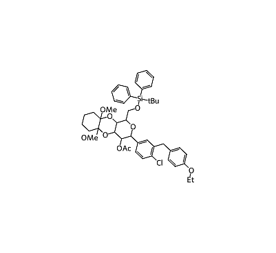 CCOc1ccc(Cc2cc(C3OC(CO[Si](c4ccccc4)(c4ccccc4)C(C)(C)C)C4OC5(OC)CCCCC5(OC)OC4C3OC(C)=O)ccc2Cl)cc1